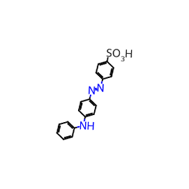 O=S(=O)(O)c1ccc(N=Nc2ccc(Nc3ccccc3)cc2)cc1